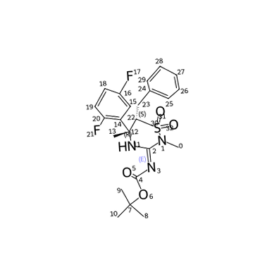 CN1/C(=N/C(=O)OC(C)(C)C)N[C@](C)(c2cc(F)ccc2F)[C@H](Cc2ccccc2)S1(=O)=O